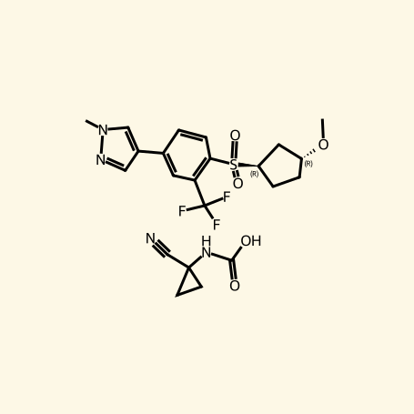 CO[C@@H]1CC[C@@H](S(=O)(=O)c2ccc(-c3cnn(C)c3)cc2C(F)(F)F)C1.N#CC1(NC(=O)O)CC1